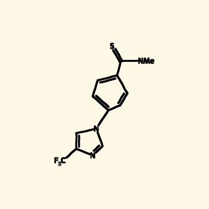 CNC(=S)c1ccc(-n2cnc(C(F)(F)F)c2)cc1